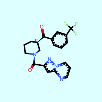 O=C(c1cccc(C(F)(F)F)c1)[C@@H]1CCCN(C(=O)c2cc3ncccn3n2)C1